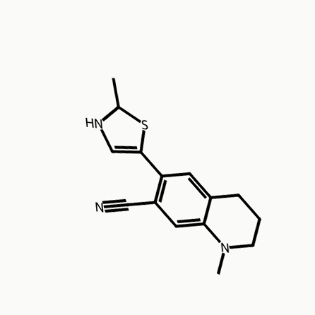 CC1NC=C(c2cc3c(cc2C#N)N(C)CCC3)S1